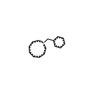 c1ccccp(Cc2ccccc2)ccc1